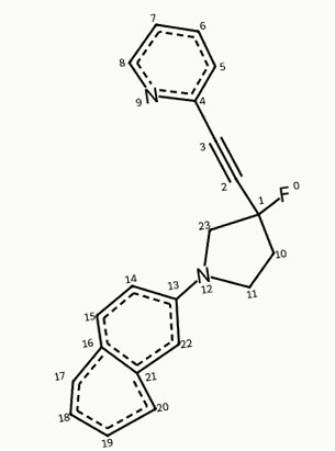 FC1(C#Cc2ccccn2)CCN(c2ccc3ccccc3c2)C1